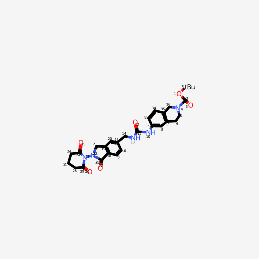 CC(C)(C)OC(=O)N1CCc2cc(NC(=O)NCc3ccc4c(c3)CN(N3C(=O)CCCC3=O)C4=O)ccc2C1